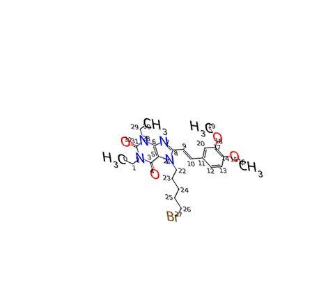 CCn1c(=O)c2c(nc(/C=C/c3ccc(OC)c(OC)c3)n2CCCCCBr)n(CC)c1=O